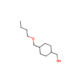 CCCCOCC1CCC(CO)CC1